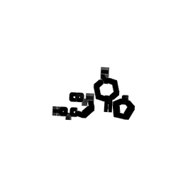 C1CNCCN1.O=C(O)/C=C\C(=O)O.c1ccsc1